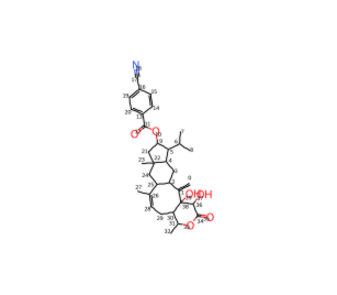 C=C1C2CC3C(C(C)C)C(OC(=O)c4ccc(C#N)cc4)CC3(C)CC2C(C)=CCC2C(C)OC(=O)C(O)C12O